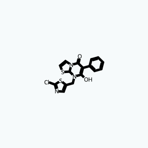 O=C1C(c2ccccc2)=C(O)N(Cc2cnc(Cl)s2)C2SC=CN12